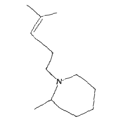 CC(C)=CCCN1CCCCC1C